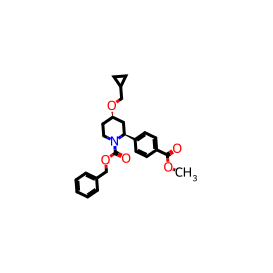 COC(=O)c1ccc([C@@H]2C[C@@H](OCC3CC3)CCN2C(=O)OCc2ccccc2)cc1